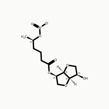 C[C@H](CCCC(=O)O[C@@H]1CO[C@H]2[C@@H]1OC[C@H]2O)O[N+](=O)[O-]